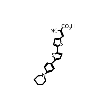 N#C/C(=C\c1ccc(-c2ccc(-c3ccc(N4CCCCC4)cc3)s2)s1)C(=O)O